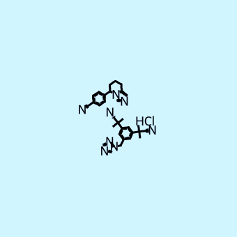 CC(C)(C#N)c1cc(Cn2cncn2)cc(C(C)(C)C#N)c1.Cl.N#Cc1ccc(C2CCCc3cncn32)cc1